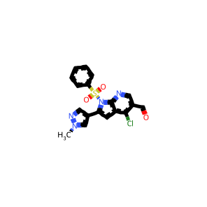 Cn1cc(-c2cc3c(Cl)c(C=O)cnc3n2S(=O)(=O)c2ccccc2)cn1